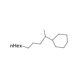 [CH2]CCCCCCCCC(C)C1CCCCC1